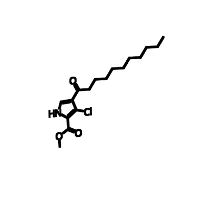 CCCCCCCCCCC(=O)c1c[nH]c(C(=O)OC)c1Cl